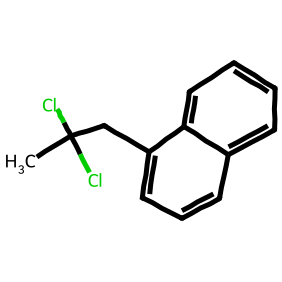 CC(Cl)(Cl)Cc1cccc2ccccc12